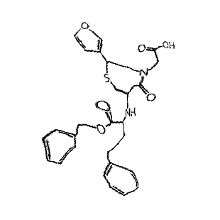 O=C(O)CN1CC(c2ccoc2)SCC(NC(CCc2ccccc2)C(=O)OCc2ccccc2)C1=O